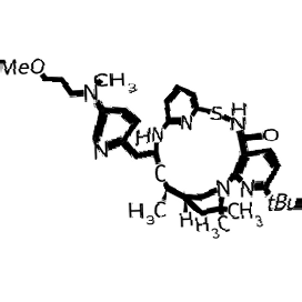 COCCCN(C)c1ccc(CC2C[C@H](C)[C@@H]3CN(c4nc(C(C)(C)C)ccc4C(=O)NSc4cccc(n4)N2)C(C)(C)C3)nc1